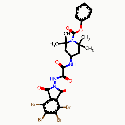 CC1(C)CC(NC(=O)C(=O)NN2C(=O)c3c(Br)c(Br)c(Br)c(Br)c3C2=O)CC(C)(C)N1C(=O)Oc1ccccc1